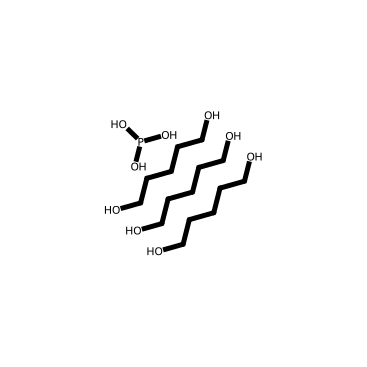 OCCCCCO.OCCCCCO.OCCCCCO.OP(O)O